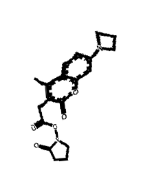 Cc1c(CC(=O)ON2CCCC2=O)c(=O)oc2cc(N3CCC3)ccc12